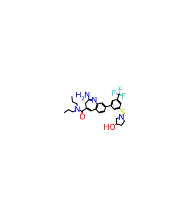 CCCN(CCC)C(=O)C1=Cc2ccc(-c3cc(SN4CCC(O)C4)cc(C(F)(F)F)c3)cc2N=C(N)C1